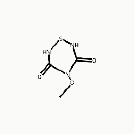 CON1C(=O)NSNC1=O